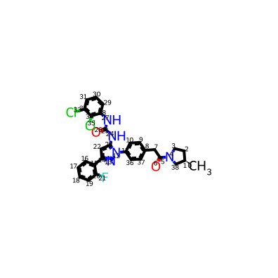 C[C@H]1CCN(C(=O)Cc2ccc(-n3nc(-c4ccccc4F)cc3NC(=O)Nc3cccc(Cl)c3Cl)cc2)C1